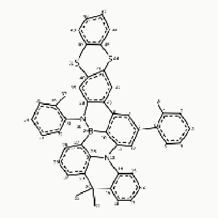 Cc1ccccc1-c1cc2c3c(c1)N1c4ccccc4C(C)(C)c4cccc(c41)B3N(c1ccccc1C)c1cc3c(cc1-2)Sc1ccccc1S3